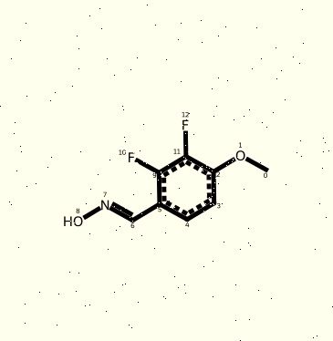 COc1ccc(/C=N/O)c(F)c1F